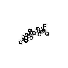 c1ccc(-c2nc(-c3ccccc3)nc(-c3c4ccccc4c(-c4ccc5c(c4)c4ccccc4n5-c4c5ccccc5c(-c5cccc6c5c5ccccc5n6-c5ccccc5)c5ccccc45)c4ccccc34)n2)cc1